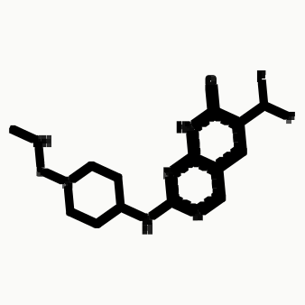 CNSN1CCC(Nc2ncc3cc(C(F)F)c(=O)[nH]c3n2)CC1